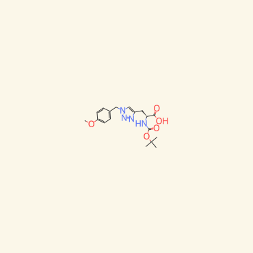 COc1ccc(Cn2cc(C[C@H](NC(=O)OC(C)(C)C)C(=O)O)nn2)cc1